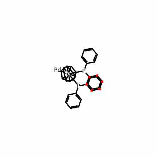 [Pd].c1ccc(P(c2ccccc2)[C]23[CH]4[CH]5[CH]6[C]2(P(c2ccccc2)c2ccccc2)[Fe]54632789[CH]3[CH]2[CH]7[CH]8[CH]39)cc1